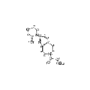 CC(C)(C)OC(=O)N1CCc2ccc(N3CCOCC3Br)nc2CC1